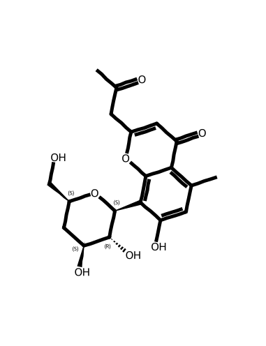 CC(=O)Cc1cc(=O)c2c(C)cc(O)c([C@@H]3O[C@H](CO)C[C@H](O)[C@H]3O)c2o1